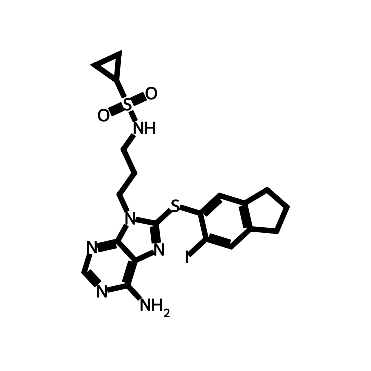 Nc1ncnc2c1nc(Sc1cc3c(cc1I)CCC3)n2CCCNS(=O)(=O)C1CC1